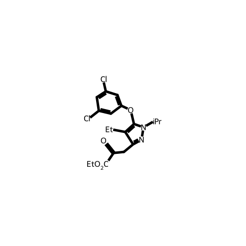 CCOC(=O)C(=O)Cc1nn(C(C)C)c(Oc2cc(Cl)cc(Cl)c2)c1CC